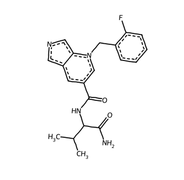 CC(C)C(NC(=O)c1cc2cncc-2n(Cc2ccccc2F)c1)C(N)=O